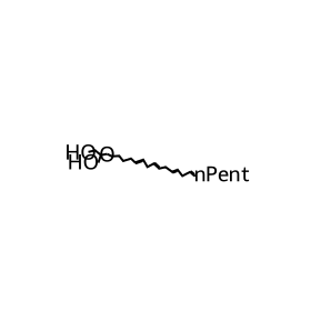 CCCCC/C=C/C/C=C/C/C=C/C/C=C/CCCCOC(CO)CO